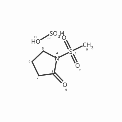 CS(=O)(=O)N1CCCC1=O.O=S(=O)(O)O